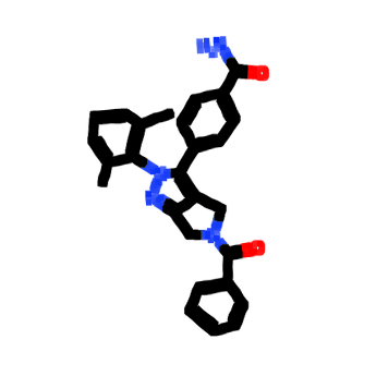 Cc1cccc(C)c1-n1nc2c(c1-c1ccc(C(N)=O)cc1)CN(C(=O)c1ccccc1)C2